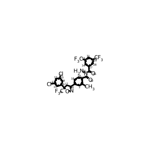 Cc1cc(C2=NOC(c3cc(Cl)cc(Cl)c3)(C(F)(F)F)C2)ccc1C(=O)N(N)C(=O)c1cc(C(F)(F)F)cc(C(F)(F)F)c1